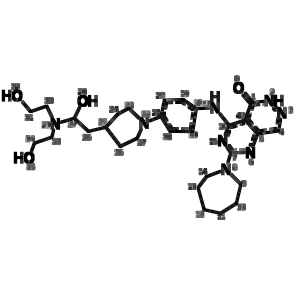 O=c1[nH]ncc2nc(N3CCCCCC3)nc(Nc3ccc(N4CCC(CC(O)N(CCO)CCO)CC4)cc3)c12